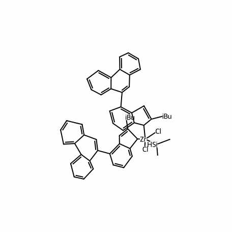 CCC(C)C1=Cc2c(-c3cc4ccccc4c4ccccc34)cccc2[CH]1[Zr]([Cl])([Cl])([CH]1C(C(C)CC)=Cc2c(-c3cc4ccccc4c4ccccc34)cccc21)[SiH](C)C